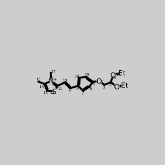 CCOC(COc1ccc(C=Cc2scc(C)[n+]2C)cc1)OCC